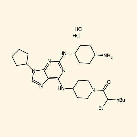 CCCCC(CC)C(=O)N1CCC(Nc2nc(N[C@H]3CC[C@H](N)CC3)nc3c2ncn3C2CCCC2)CC1.Cl.Cl